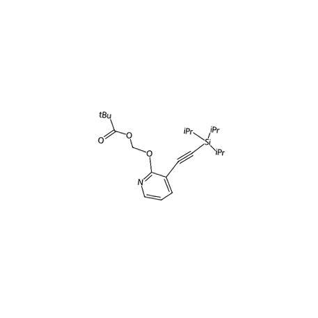 CC(C)[Si](C#Cc1cccnc1OCOC(=O)C(C)(C)C)(C(C)C)C(C)C